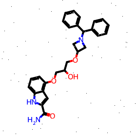 NC(=O)c1cc2c(OCC(O)COC3CN(C(c4ccccc4)c4ccccc4)C3)cccc2[nH]1